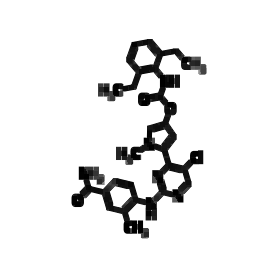 CCc1cccc(CC)c1NC(=O)Oc1cc(-c2nc(Nc3ccc(C(N)=O)cc3C)ncc2Cl)n(C)c1